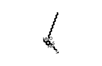 CCCCCCCCCCCCCCCC(=O)Nc1cc(C(=S)NCCCSC)ccc1CC